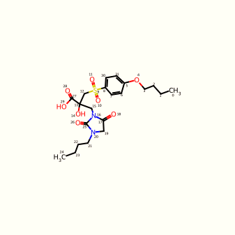 CCCCOc1ccc(S(=O)(=O)CC(O)(CN2C(=O)CN(CCCC)C2=O)C(=O)O)cc1